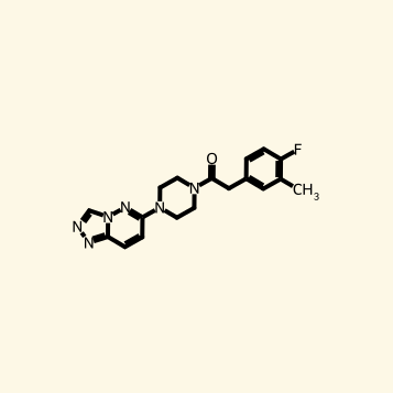 Cc1cc(CC(=O)N2CCN(c3ccc4nncn4n3)CC2)ccc1F